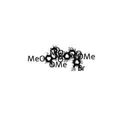 COc1ccc(CN(c2ncco2)S(=O)(=O)c2ccc3c(ccc(=O)n3-c3cc(C)c(Br)cc3OC)c2)c(OC)c1